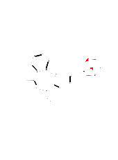 CC(C)C1=N[C@H](N)C(=O)N(CC(=O)N2CC3CCC(CC3)C2)c2ccccc21